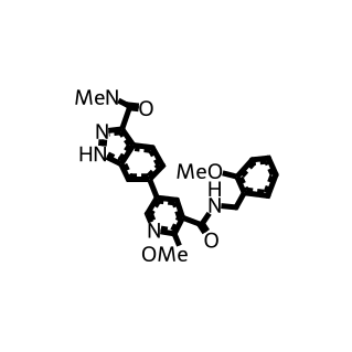 CNC(=O)c1n[nH]c2cc(-c3cnc(OC)c(C(=O)NCc4ccccc4OC)c3)ccc12